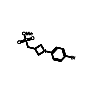 COS(=O)(=O)CC1CN(c2ccc(Br)cc2)C1